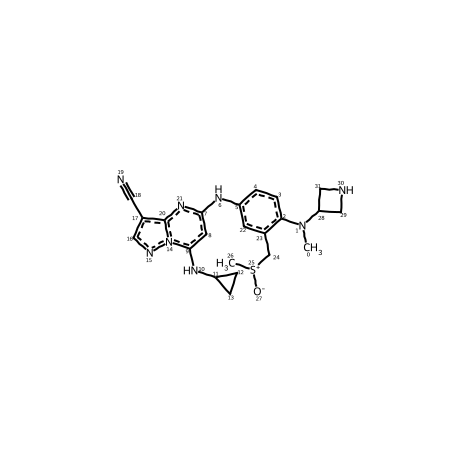 CN(c1ccc(Nc2cc(NC3CC3)n3ncc(C#N)c3n2)cc1C[S+](C)[O-])C1CNC1